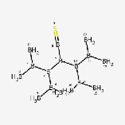 BB(B)B(B(B)B)B(B=S)B(B(B)B)B(B)B